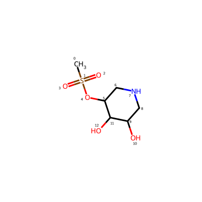 CS(=O)(=O)OC1CNCC(O)C1O